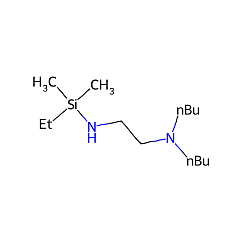 CCCCN(CCCC)CCN[Si](C)(C)CC